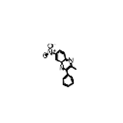 Cc1nc2ccc([N+](=O)[O-])cc2nc1-c1ccccc1